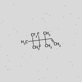 C=CC(C)(C)C(F)(F)C(C)(C)C(F)(F)F